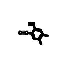 Cc1cc(C=O)c(N=O)cc1C